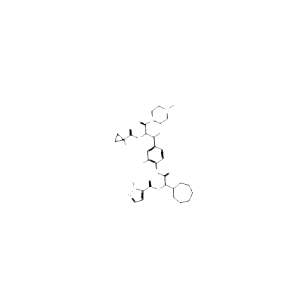 CCn1nccc1C(=O)NC(C(=O)Nc1ccc(C(C)C(NC(=O)C2(F)CC2)C(=O)N2CCN(C)CC2)cc1F)C1CCCCCC1